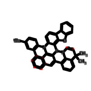 CC(C)(C)c1ccc(N2c3ccc4c(oc5ccccc54)c3B3c4c(cc5ccccc5c42)-c2cccc4c2N3c2ccccc2C4(C)C)c(-c2ccccc2)c1